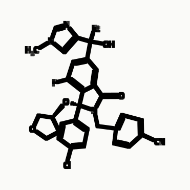 CCC(O)(c1cc(F)c2c(c1)C(=O)N(Cc1ccc(C#N)cc1)[C@@]2(O[C@H]1CCOC1)c1ccc(Cl)cc1)c1cn(C)cn1